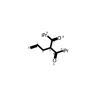 C=CCC(C(=O)C(C)C)C(=O)C(C)C